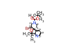 CC(C)(C)OC(=O)N1CC[C@]2(OC(C)(C)c3ncccc32)[C@@H](Br)C1